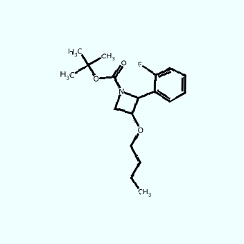 CCCCOC1CN(C(=O)OC(C)(C)C)C1c1ccccc1F